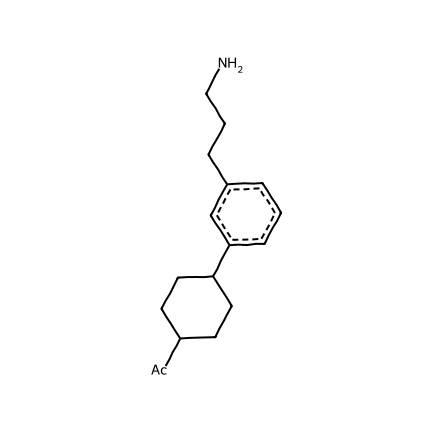 CC(=O)C1CCC(c2cccc(CCCN)c2)CC1